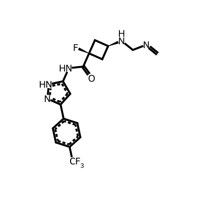 C=NCN[C@H]1C[C@](F)(C(=O)Nc2cc(-c3ccc(C(F)(F)F)cc3)n[nH]2)C1